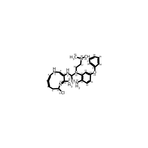 CCC(NC1=C/NC=C=CCC(Cl)\N=C\1C)N(CCN(C)C)c1cc(Oc2ccccc2)ccc1N